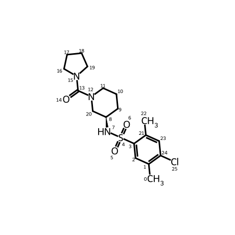 Cc1cc(S(=O)(=O)N[C@@H]2CCCN(C(=O)N3CCCC3)C2)c(C)cc1Cl